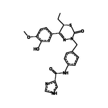 CCC1SC(=O)N(Cc2ccc(NC(=O)c3c[nH]cn3)cc2)N=C1c1ccc(OC)c(O)c1